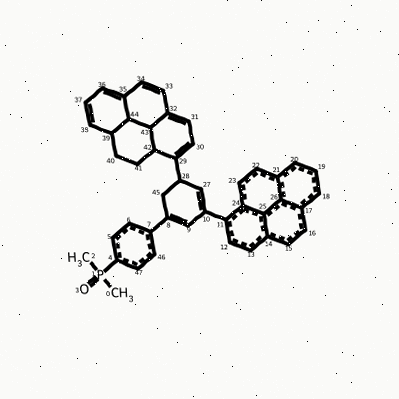 CP(C)(=O)c1ccc(C2=CC(c3ccc4ccc5cccc6ccc3c4c56)=CC(C3=CC=C4C=CC5=CC=CC6CCC3C4C56)C2)cc1